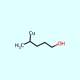 C[CH]([Cu])CCCO